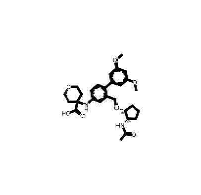 COc1cc(OC)cc(-c2ccc(NC3(C(=O)O)CCOCC3)cc2CO[C@@H]2CCC[C@@H]2NC(C)=O)c1